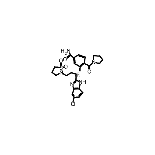 NC(=O)c1ccc(C(=O)N2CCCC2)c(C[C@@H](CCN2CCCS2(=O)=O)c2nc3cc(Cl)ccc3[nH]2)c1